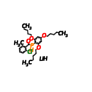 CCCCCOc1cc(OCCCCC)c(PC(=O)c2c(C)cccc2Cl)c(OCCCCC)c1.[LiH]